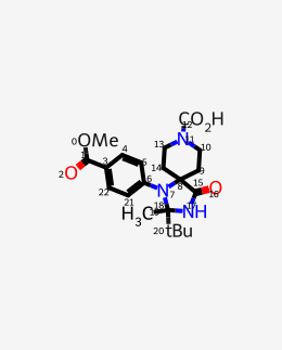 COC(=O)c1ccc(N2C3(CCN(C(=O)O)CC3)C(=O)NC2(C)C(C)(C)C)cc1